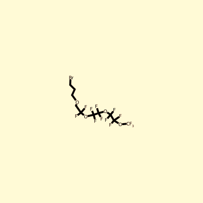 FC(F)(F)OC(F)(F)C(F)(F)OC(F)(F)C(F)(F)OC(F)(F)COCCCBr